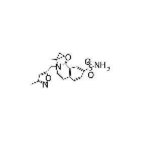 Cc1cc(C[N+]2(C3(C)CC3)C=Cc3ccc(S(N)(=O)=O)cc3C2=O)on1